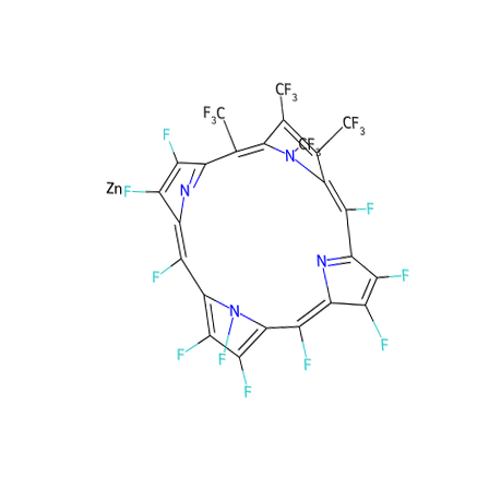 FC1=C(F)c2nc1c(F)c1c(F)c(F)c(c(F)c3nc(c(C(F)(F)F)c4c(C(F)(F)F)c(C(F)(F)F)c(c2F)n4C(F)(F)F)C(F)=C3F)n1F.[Zn]